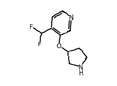 FC(F)c1ccncc1OC1CCNC1